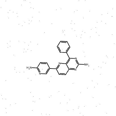 Nc1ccc(-c2ccc3nc(N)nc(-c4ccccc4)c3n2)cn1